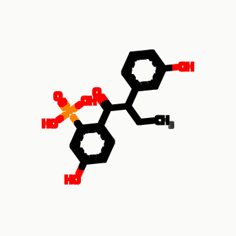 CCC(C(=O)c1ccc(O)cc1P(=O)(O)O)c1cccc(O)c1